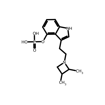 CC1CN(CCc2c[nH]c3cccc(OP(=O)(O)O)c23)C1C